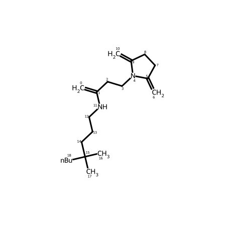 C=C(CCN1C(=C)CCC1=C)NCCCC(C)(C)CCCC